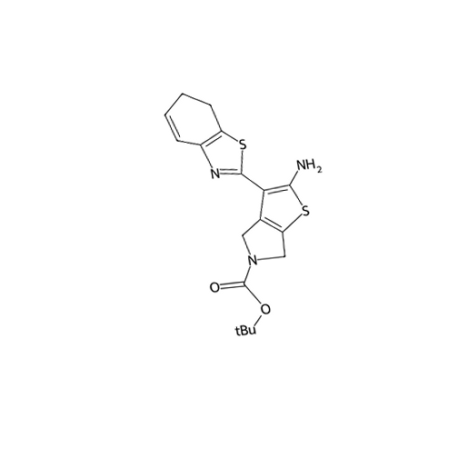 CC(C)(C)OC(=O)N1Cc2sc(N)c(-c3nc4c(s3)CCC=C4)c2C1